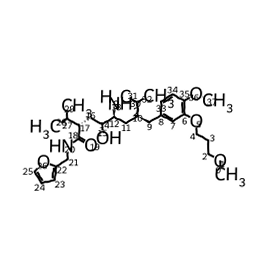 COCCCOc1cc(C[C@@H](C[C@H](N)[C@@H](O)C[C@H](C(=O)NCc2ccco2)C(C)C)C(C)C)ccc1OC